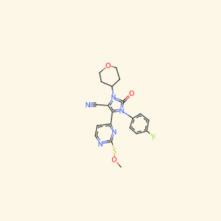 COSc1nccc(-c2c(C#N)n(C3CCOCC3)c(=O)n2-c2ccc(F)cc2)n1